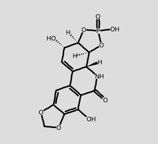 O=C1N[C@@H]2C(=C[C@H](O)[C@H]3OP(=O)(O)O[C@H]32)c2cc3c(c(O)c21)OCO3